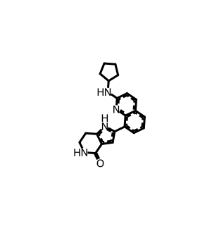 O=C1NCCc2[nH]c(-c3cccc4ccc(NC5CCCC5)nc34)cc21